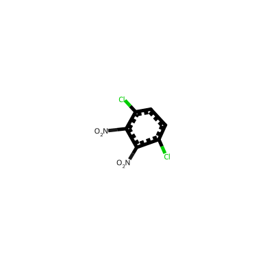 O=[N+]([O-])c1c(Cl)ccc(Cl)c1[N+](=O)[O-]